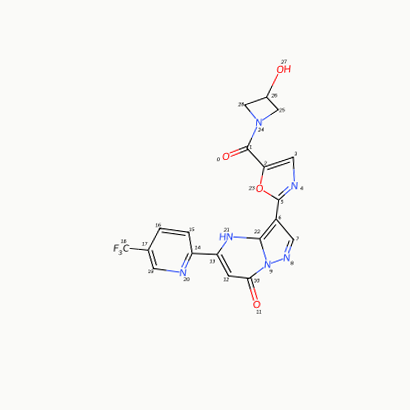 O=C(c1cnc(-c2cnn3c(=O)cc(-c4ccc(C(F)(F)F)cn4)[nH]c23)o1)N1CC(O)C1